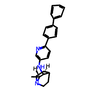 C[C@@H]1[C@@H](Nc2ccc(-c3ccc(-c4ccccc4)cc3)nc2)C2CCN1CC2